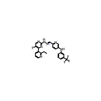 CCc1ncccc1-c1nc(N/N=C/c2ccc(Nc3cccc(C(F)(F)F)c3)cn2)ncc1F